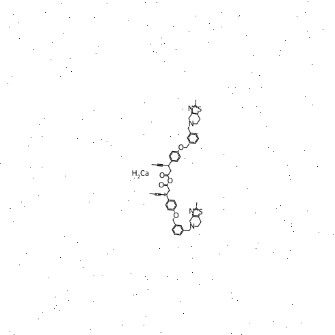 CC#CC(CC(=O)OC(=O)C[C@H](C#CC)c1ccc(OCc2cccc(CN3CCc4sc(C)nc4C3)c2)cc1)c1ccc(OCc2cccc(CN3CCc4sc(C)nc4C3)c2)cc1.[CaH2]